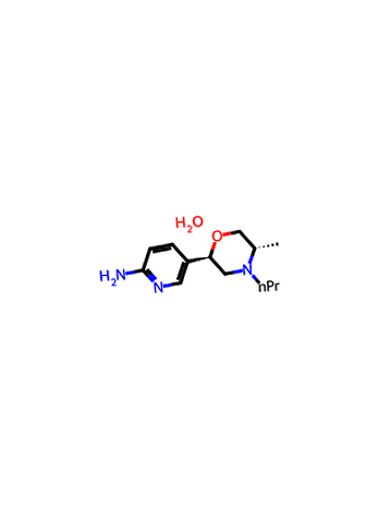 CCCN1C[C@@H](c2ccc(N)nc2)OC[C@@H]1C.O